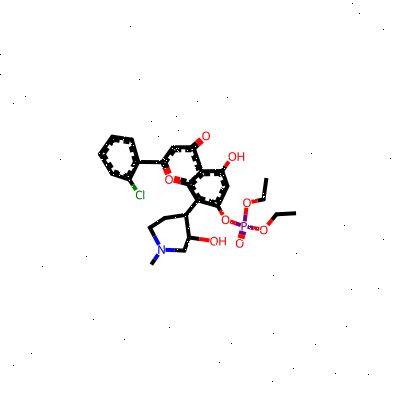 CCOP(=O)(OCC)Oc1cc(O)c2c(=O)cc(-c3ccccc3Cl)oc2c1C1CCN(C)CC1O